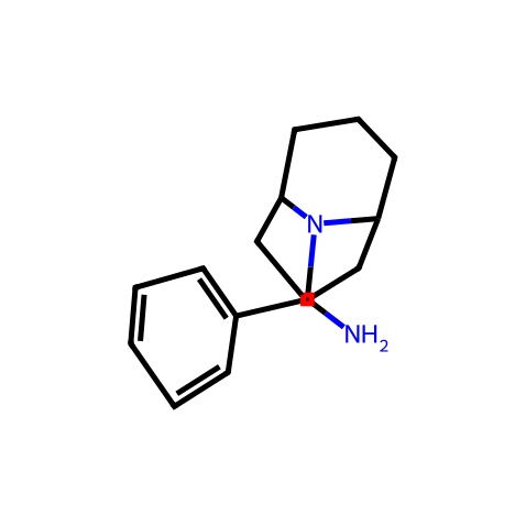 NC(c1ccccc1)N1C2CCCC1CCC2